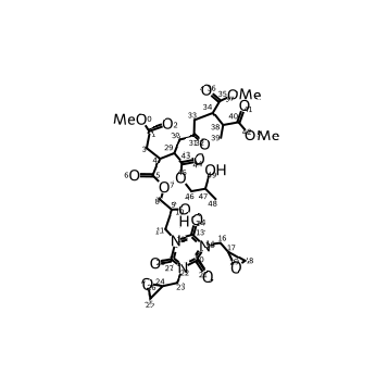 COC(=O)CC(C(=O)OCC(O)Cn1c(=O)n(CC2CO2)c(=O)n(CC2CO2)c1=O)C(CC(=O)CC(C(=O)OC)C(C)C(=O)OC)C(=O)OCC(C)O